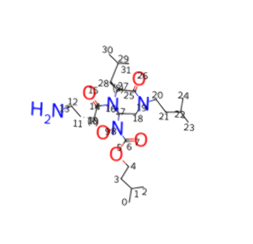 CC(C)CCOC(=O)N1O[C@H](CCN)C(=O)N2C1CN(CCC(C)C)C(=O)[C@@H]2CC(C)C